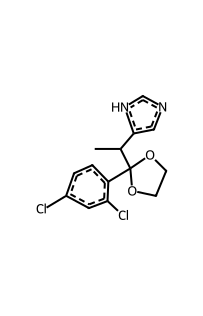 CC(c1cnc[nH]1)C1(c2ccc(Cl)cc2Cl)OCCO1